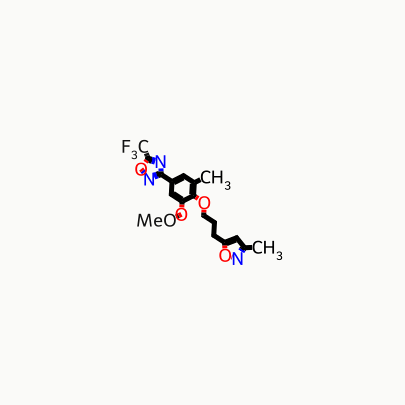 COOc1cc(-c2noc(C(F)(F)F)n2)cc(C)c1OCCCc1cc(C)no1